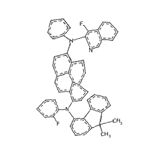 CC1(C)c2ccccc2-c2c(N(c3ccccc3F)c3ccc4ccc5c(N(c6ccccc6)c6ncc7ccccc7c6F)ccc6ccc3c4c65)cccc21